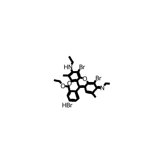 Br.CCN=c1c(C)cc2c(-c3ccccc3C(=O)OCC)c3cc(C)c(NCC)c(Br)c3oc-2c1Br